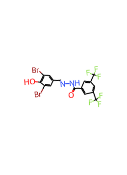 O=C(NN=Cc1cc(Br)c(O)c(Br)c1)c1cc(C(F)(F)F)cc(C(F)(F)F)c1